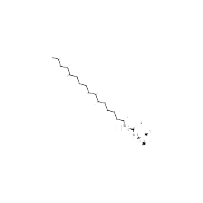 CCCCCCCCCCCCCCCCNC(=O)N=S(=O)=O